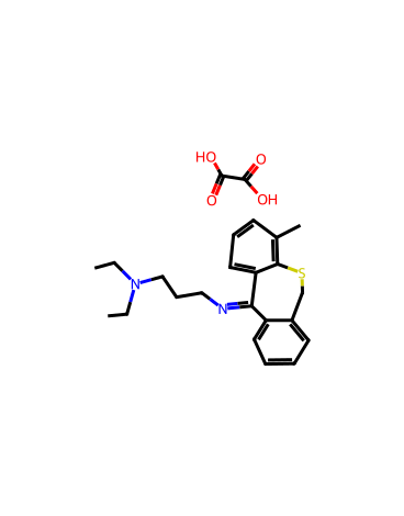 CCN(CC)CCCN=C1c2ccccc2CSc2c(C)cccc21.O=C(O)C(=O)O